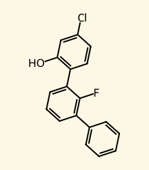 Oc1cc(Cl)ccc1-c1cccc(-c2ccccc2)c1F